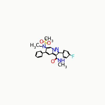 CCN(c1cn2nc(-c3ccc(F)cc3)c(C(=O)NC)c2cc1-c1ccccc1)S(C)(=O)=O